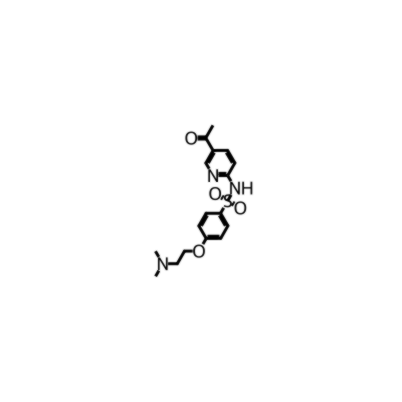 CC(=O)c1ccc(NS(=O)(=O)c2ccc(OCCN(C)C)cc2)nc1